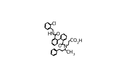 CC(CCc1ccccc1)N(CCC(=O)O)C(=O)c1ccccc1-c1ccccc1C(=O)NCc1ccccc1Cl